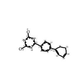 Clc1nc(Cl)nc(-c2ccc(C3=CC=CCC3)cc2)n1